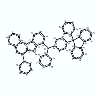 c1ccc(-c2cc3ccccc3c3c2oc2c(N(c4ccccc4)c4ccc(C5(c6ccccc6)c6ccccc6-c6ccccc65)cc4)cccc23)cc1